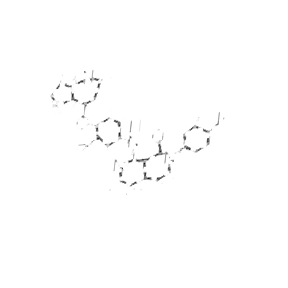 O=c1c2c(Nc3ccc(Oc4ccnc5ccsc45)c(F)c3)nccc2ccn1-c1ccc(F)cc1